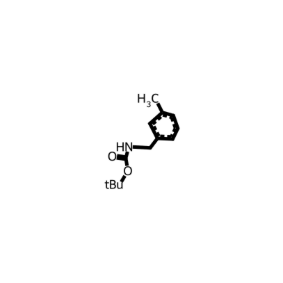 Cc1cccc(CNC(=O)OC(C)(C)C)c1